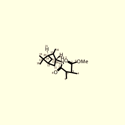 COC(=O)C(C)C(C)C(=O)N[C@@H]1CC2C[C@H](C1C)C2(C)C